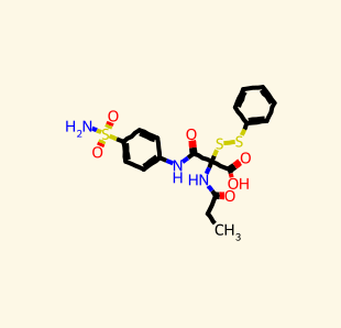 CCC(=O)NC(SSc1ccccc1)(C(=O)O)C(=O)Nc1ccc(S(N)(=O)=O)cc1